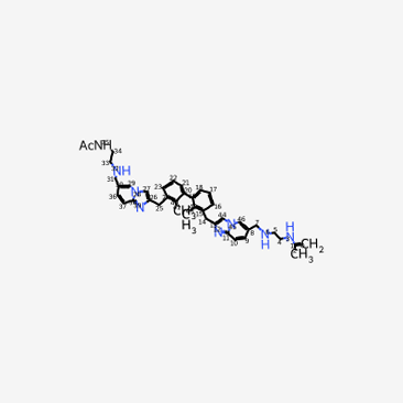 C=C(C)NCCNCc1ccc2nc(Cc3cccc(-c4cccc(Cc5cn6cc(CNCCNC(C)=O)ccc6n5)c4C)c3C)cn2c1